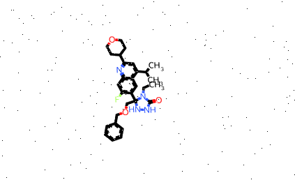 CCN1C(=O)NNC1(COCc1ccccc1)c1cc2c(C(C)C)cc(C3CCOCC3)nc2cc1F